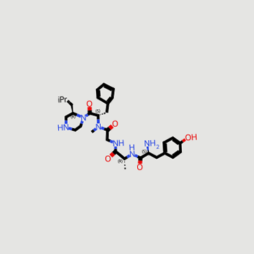 CC(C)C[C@@H]1CNCCN1C(=O)[C@H](Cc1ccccc1)N(C)C(=O)CNC(=O)[C@@H](C)NC(=O)[C@@H](N)Cc1ccc(O)cc1